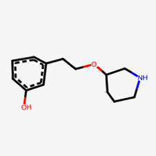 Oc1cccc(CCOC2[CH]CCNC2)c1